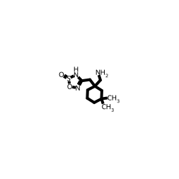 CC1(C)CCCC(CN)(CC2=NOS(=O)N2)C1